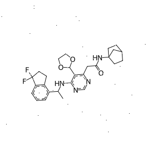 CC(Nc1ncnc(CC(=O)NC23CCC(CC2)C3)c1C1OCCO1)c1cccc2c1CCC2(F)F